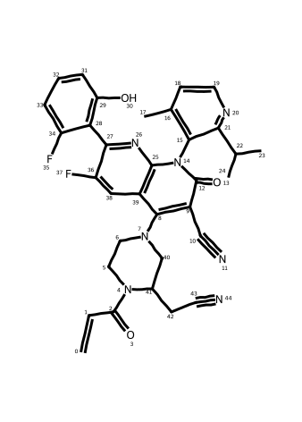 C=CC(=O)N1CCN(c2c(C#N)c(=O)n(-c3c(C)ccnc3C(C)C)c3nc(-c4c(O)cccc4F)c(F)cc23)CC1CC#N